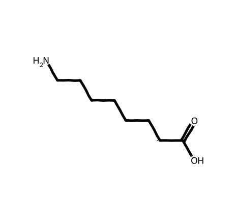 NCCCCCC[CH]C(=O)O